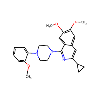 COc1cc2cc(C3CC3)nc(N3CCN(c4ccccc4OC)CC3)c2cc1OC